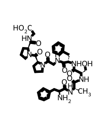 C[C@H](NC(=O)[C@@H](N)Cc1ccccc1)C(=O)N[C@@H](CO)C(=O)N[C@@H](Cc1ccccc1)C(=O)NCC(=O)N1CCC[C@H]1C(=O)N1CCC[C@H]1C(=O)NCC(=O)O